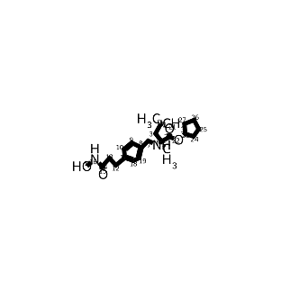 CC(C)CC(C)(NCc1ccc(CCC(=O)NO)cc1)C(=O)OC1CCCC1